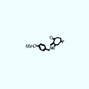 COc1ccc(Cn2cc3c(n2)CC(F)CCC3=O)cc1